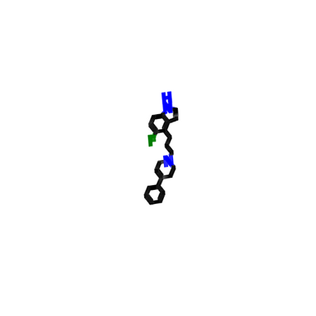 Fc1ccc2[nH]ccc2c1CCCN1CC=C(c2ccccc2)CC1